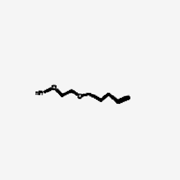 C=CCCCOCCOCCC